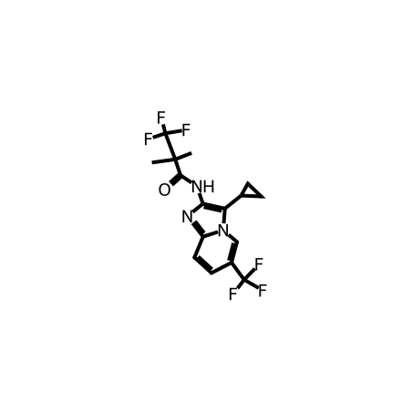 CC(C)(C(=O)Nc1nc2ccc(C(F)(F)F)cn2c1C1CC1)C(F)(F)F